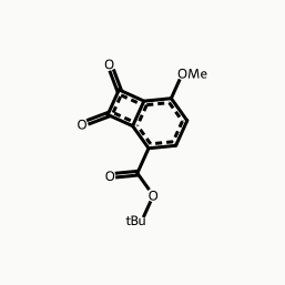 COc1ccc(C(=O)OC(C)(C)C)c2c(=O)c(=O)c12